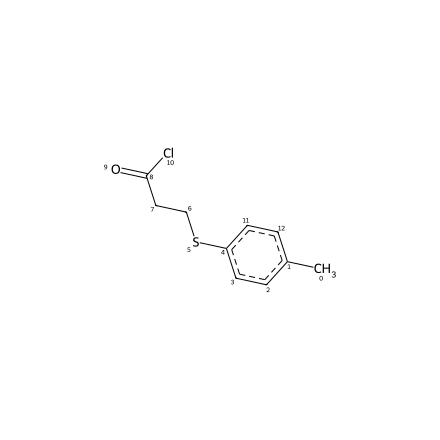 Cc1ccc(SCCC(=O)Cl)cc1